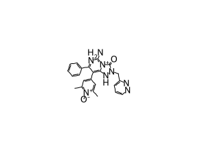 Cc1cc(-c2c(-c3ccccc3)nc(N)[n+]3c(=O)n(Cc4cccnn4)[nH]c23)cc(C)[n+]1[O-]